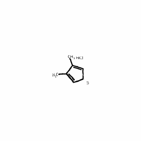 CC1=C[CH]C=C1C.Cl.[Ti]